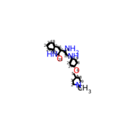 CN1CCC(COc2ccc(N/C=C(\N)c3cc4ccccc4[nH]c3=O)cc2)CC1